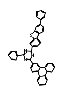 c1ccc(-c2ccc3c(c2)sc2cc(-c4nc(-c5ccccc5)nc(-c5ccc6c7ccccc7c7ccccc7c6c5)n4)ccc23)cc1